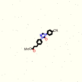 COC(=O)CCc1ccc(-n2ncn(-c3ccc(C#N)cc3)c2=O)cc1